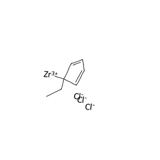 CC[C]1([Zr+3])C=CC=C1.[Cl-].[Cl-].[Cl-]